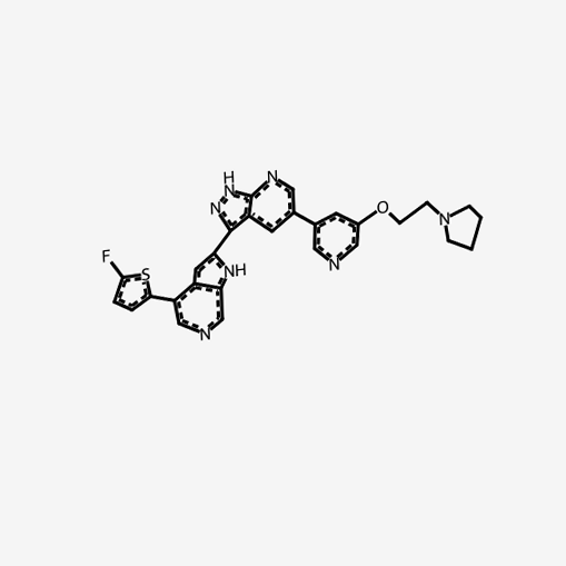 Fc1ccc(-c2cncc3[nH]c(-c4n[nH]c5ncc(-c6cncc(OCCN7CCCC7)c6)cc45)cc23)s1